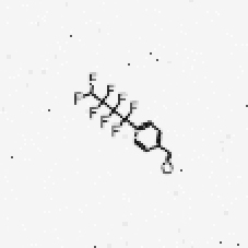 O=Cc1ccc(C(F)(F)C(F)(F)C(F)(F)C(F)F)cc1